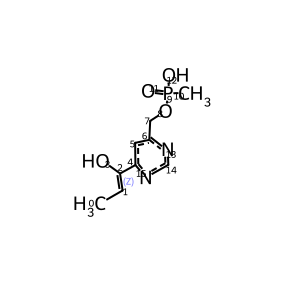 C/C=C(\O)c1cc(COP(C)(=O)O)ncn1